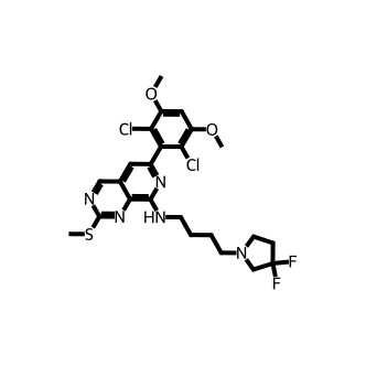 COc1cc(OC)c(Cl)c(-c2cc3cnc(SC)nc3c(NCCCCN3CCC(F)(F)C3)n2)c1Cl